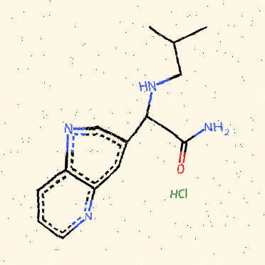 CC(C)CNC(C(N)=O)c1cnc2cccnc2c1.Cl